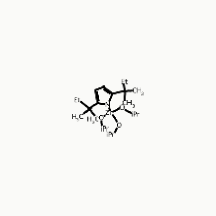 CCC(C)(C)c1ccc(C(C)(C)CC)[n]1[Zr]([O]C(C)C)([O]C(C)C)[O]C(C)C